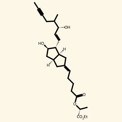 CC#CCC(C)[C@H](O)/C=C/[C@@H]1[C@H]2C/C(=C/CCCC(=O)O[C@H](C)C(=O)OCC)C[C@H]2C[C@H]1O